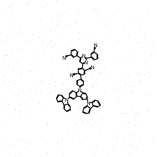 N#Cc1cccc(-c2cc(-c3cc(C#N)c(-c4ccc(-n5c6ccc(-n7c8ccccc8c8ccccc87)cc6c6cc(-n7c8ccccc8c8ccccc87)ccc65)cc4)cc3C#N)nc(-c3cccc(C#N)c3)n2)c1